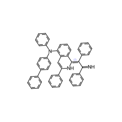 N=C(/C(=C1\NC(c2ccccc2)=Cc2c1cccc2N(c1ccccc1)c1ccc(-c2ccccc2)cc1)c1ccccc1)c1ccccc1